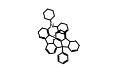 C1=CC2C3=CCCC(N(C4CC=CCC4)C4CCCCC4)=C3SC2C(C2(c3ccccc3)c3ccccc3C3CCC=CC32)=C1